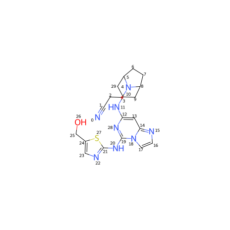 N#CCCN1C2CCC1CC(Nc1cc3nccn3c(Nc3ncc(CO)s3)n1)C2